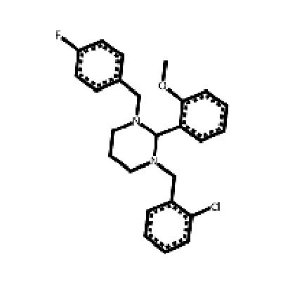 COc1ccccc1C1N(Cc2ccc(F)cc2)CCCN1Cc1ccccc1Cl